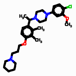 COc1cc(N2CCN(C(C)c3ccc(OCCCN4CCCCC4)c(C)c3C)CC2)ccc1Cl